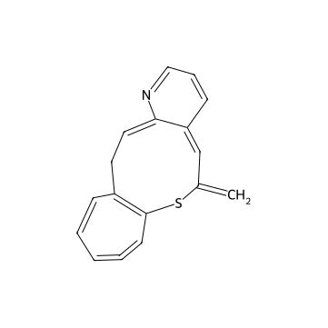 C=C1/C=c2/cccn/c2=C/CC2=C(C=C=CC=C2)S1